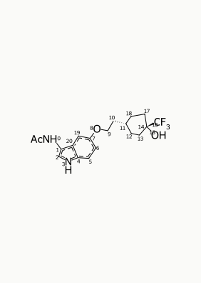 CC(=O)Nc1c[nH]c2ccc(OCC[C@H]3CC[C@](O)(C(F)(F)F)CC3)cc12